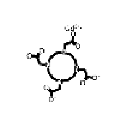 O=C([O-])CN1CCN(CC(=O)[O-])CCN(CC(=O)[O-])CCN(CC(=O)[O-])CC1.[Gd+3]